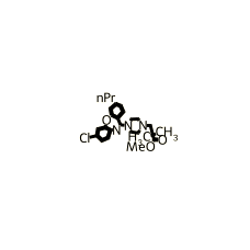 CCCc1ccc2c(c1)Oc1cc(Cl)ccc1N=C2N1CCN(CC(C)(C)C(=O)OC)CC1